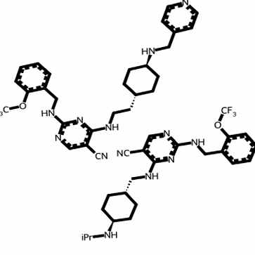 CC(C)N[C@H]1CC[C@H](CNc2nc(NCc3ccccc3OC(F)(F)F)ncc2C#N)CC1.N#Cc1cnc(NCc2ccccc2OC(F)(F)F)nc1NCC[C@H]1CC[C@H](NCc2ccncc2)CC1